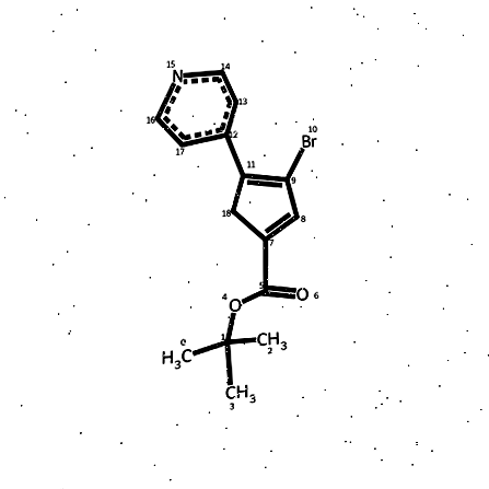 CC(C)(C)OC(=O)C1=CC(Br)=C(c2ccncc2)C1